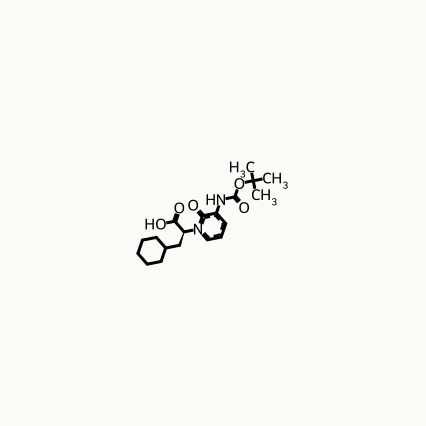 CC(C)(C)OC(=O)Nc1cccn([C@@H](CC2CCCCC2)C(=O)O)c1=O